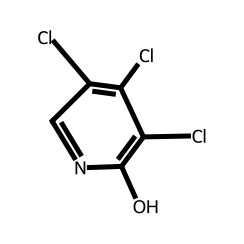 Oc1ncc(Cl)c(Cl)c1Cl